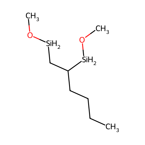 CCCCC(C[SiH2]OC)[SiH2]OC